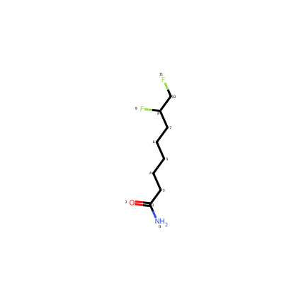 NC(=O)CCCCCC(F)CF